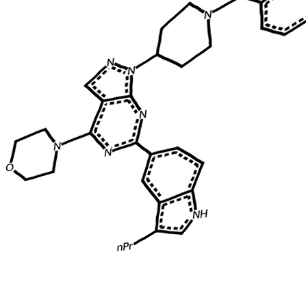 CCCc1c[nH]c2ccc(-c3nc(N4CCOCC4)c4cnn(C5CCN(Cc6cccnc6)CC5)c4n3)cc12